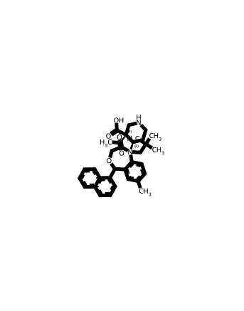 CC(=O)[C@@]1(C(=O)O)CNCC[C@H]1[N+]1(CC(C)(C)C)C(=O)COC(c2cccc3ccccc23)c2cc(C)ccc21